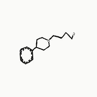 [O]CCCCN1CCC(c2ccccc2)CC1